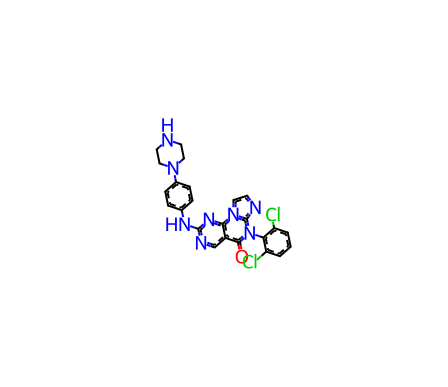 O=c1c2cnc(Nc3ccc(N4CCNCC4)cc3)nc2n2ccnc2n1-c1c(Cl)cccc1Cl